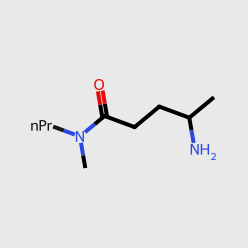 CCCN(C)C(=O)CCC(C)N